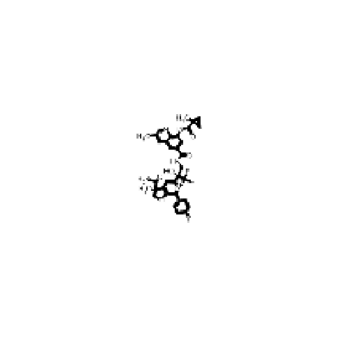 Cc1cnc2c(NC(=O)C3(C)CC3)cc(C(=O)NC[C@@](O)(c3cc4c(c(-c5ccc(F)cc5)n3)OC[C@]4(C)C(N)=O)C(F)(F)F)cc2c1